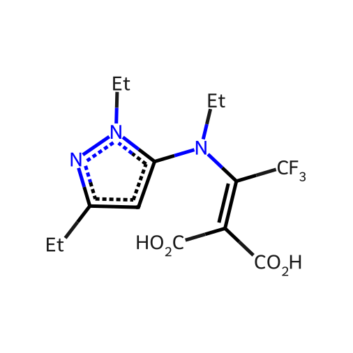 CCc1cc(N(CC)C(=C(C(=O)O)C(=O)O)C(F)(F)F)n(CC)n1